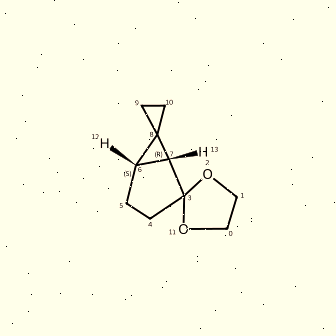 C1COC2(CC[C@H]3[C@@H]2C32CC2)O1